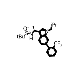 CC(C)Cn1cc([C@H](C)N[S@+]([O-])C(C)(C)C)c2ccc(-c3ccccc3C(F)(F)F)cc21